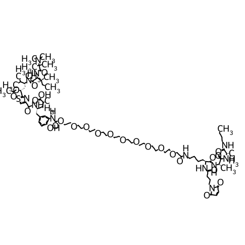 CCCCNC(=O)[C@H](C)NC(=O)[C@H](C)NC(=O)[C@H](CCCCNC(=O)COCCOCCOCCOCCOCCOCCOCCOCCOCCOC(=O)Nc1cc(C[C@@H](C[C@H](C)C(=O)O)NC(=O)c2csc([C@@H](C[C@H](C(C)C)N(C)C(=O)[C@@H](NC(=O)C(C)(C)N(C)C)[C@@H](C)CC)OC(C)=O)n2)ccc1O)NC(=O)CCCN1C(=O)C=CC1=O